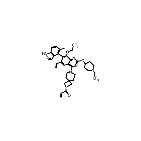 C=CC(=O)N1CC2(CCN(c3nc(OC4CCN(CC(F)(F)F)CC4)nc4c(OCC(F)(F)F)c(-c5c(C)ccc6[nH]ncc56)c(C=C)cc34)CC2)C1